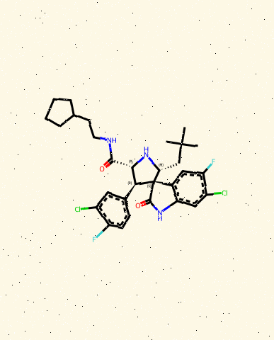 CC(C)(C)C[C@H]1N[C@@H](C(=O)NCCC2CCCC2)[C@H](c2ccc(F)c(Cl)c2)[C@@]12C(=O)Nc1cc(Cl)c(F)cc12